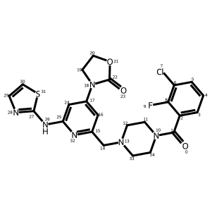 O=C(c1cccc(Cl)c1F)N1CCN(Cc2cc(N3CCOC3=O)cc(Nc3nccs3)n2)CC1